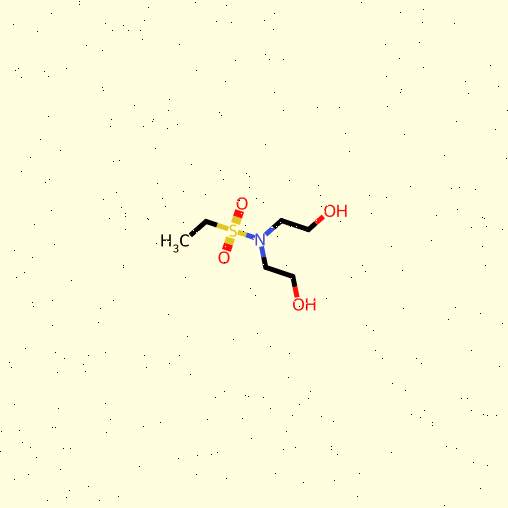 CCS(=O)(=O)N(CCO)CCO